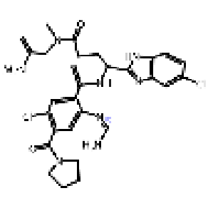 C=C(CN(C)C(=O)CCC(NC(=C)c1cc(Cl)c(C(=O)N2CCCC2)cc1/N=C\N)c1nc2cc(Cl)ccc2[nH]1)NC